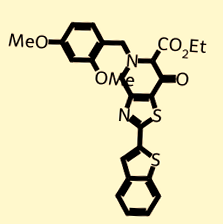 CCOC(=O)C1C(=O)c2sc(-c3cc4ccccc4s3)nc2CN1Cc1ccc(OC)cc1OC